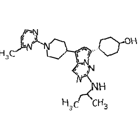 CCC(C)Nc1ncc2c(C3CCN(c4nccc(C)n4)CC3)cc([C@H]3CC[C@H](O)CC3)n2n1